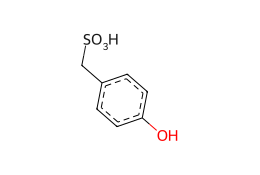 O=S(=O)(O)Cc1ccc(O)cc1